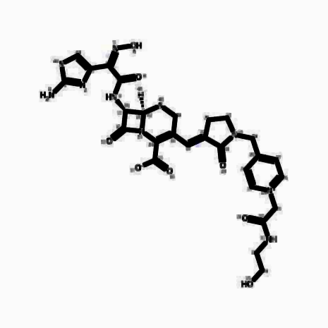 Nc1nc(/C(=N/O)C(=O)N[C@@H]2C(=O)N3C(C(=O)[O-])=C(/C=C4\CCN(Cc5cc[n+](CC(=O)NCCO)cc5)C4=O)CS[C@H]23)cs1